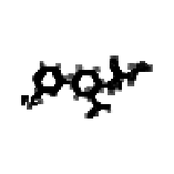 CN(C)[C@H]1C[C@H](c2cccc(C(F)(F)F)c2)CC[C@@H]1NC(=O)OC(C)(C)C